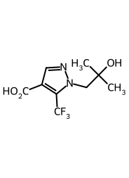 CC(C)(O)Cn1ncc(C(=O)O)c1C(F)(F)F